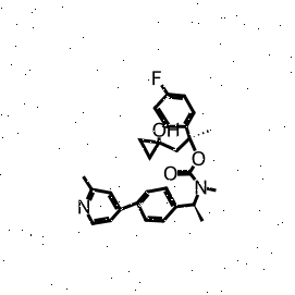 Cc1cc(-c2ccc([C@H](C)N(C)C(=O)O[C@@](C)(CC3(O)CC3)c3ccc(F)cc3)cc2)ccn1